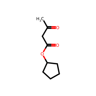 CC(=O)CC(=O)OC1CCCC1